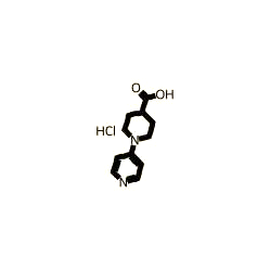 Cl.O=C(O)C1CCN(c2ccncc2)CC1